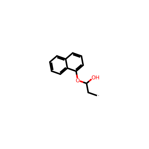 [CH2]CC(O)Oc1cccc2ccccc12